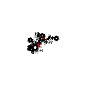 CCCN(CCC)[C@@H](CCC(=O)OCc1ccccc1)C(=O)O[C@@H](C(=O)O[C@H]1C[C@@]2(O)[C@@H](OC(=O)c3ccccc3)[C@@H]3[C@]4(OC(C)=O)CO[C@@H]4C[C@H](O)[C@@]3(C)C(=O)[C@H](O)C(=C1C)C2(C)C)[C@@H](NC(=O)OC(C)(C)C)c1ccccc1